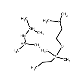 CCC[Si](C)(C)OCCN(C)C.C[SiH](C)N[SiH](C)C